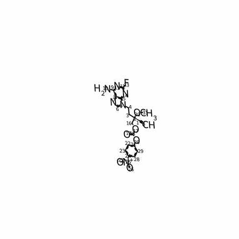 C#C[C@](CCn1cnc2c(N)nc(F)nc21)(COC(=O)Oc1ccc([N+](=O)[O-])cc1)OC